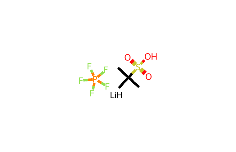 CC(C)(C)S(=O)(=O)O.FP(F)(F)(F)F.[LiH]